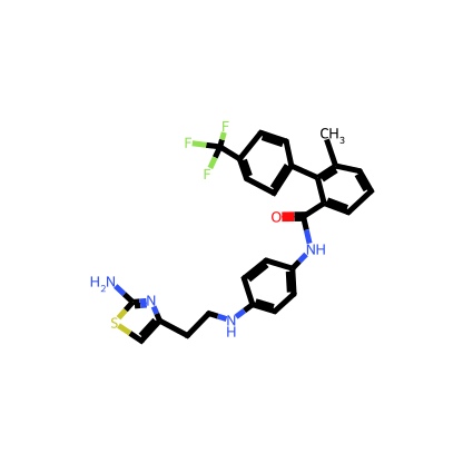 Cc1cccc(C(=O)Nc2ccc(NCCc3csc(N)n3)cc2)c1-c1ccc(C(F)(F)F)cc1